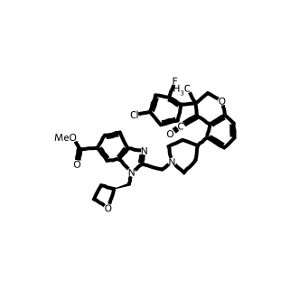 COC(=O)c1ccc2nc(CN3CCC(c4cccc5c4C(=C=O)C(C)(c4ccc(Cl)cc4F)CO5)CC3)n(C[C@@H]3CCO3)c2c1